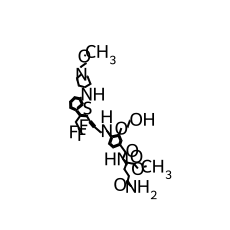 COCCN1CCC(Nc2cccc3c(CC(F)(F)F)c(C#CCNc4ccc(C(=O)NC(CCC(N)=O)C(=O)OC)cc4OCCO)sc23)CC1